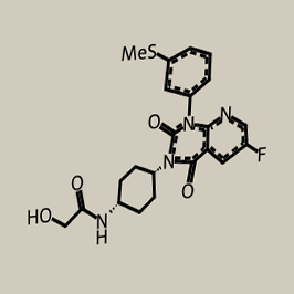 CSc1cccc(-n2c(=O)n([C@H]3CC[C@@H](NC(=O)CO)CC3)c(=O)c3cc(F)cnc32)c1